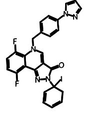 O=c1c2cn(Cc3ccc(-n4cccn4)cc3)c3c(F)ccc(F)c3c-2nn1C1(I)C=CC=CC1